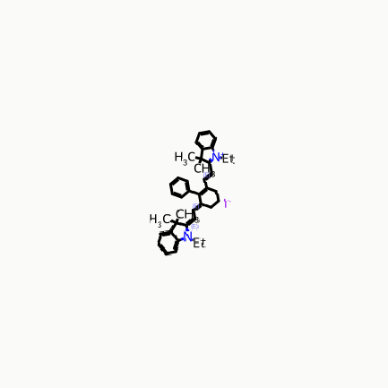 CCN1/C(=C/C=C2\CCCC(/C=C/C3=[N+](CC)c4ccccc4C3(C)C)=C2c2ccccc2)C(C)(C)c2ccccc21.[I-]